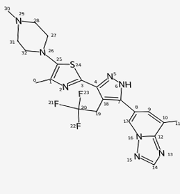 Cc1nc(-c2n[nH]c(-c3cc(C)c4ncnn4c3)c2CC(F)(F)F)sc1N1CCN(C)CC1